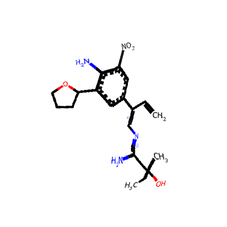 C=C/C(=C\N=C(/N)C(C)(C)O)c1cc(C2CCCO2)c(N)c([N+](=O)[O-])c1